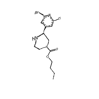 CCCCOC(=O)N1CCN[C@@H](c2cc(Cl)nc(Br)c2)C1